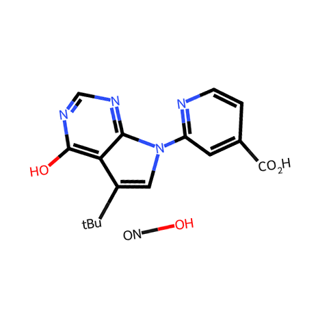 CC(C)(C)c1cn(-c2cc(C(=O)O)ccn2)c2ncnc(O)c12.O=NO